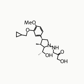 COc1ccc([C@H]2CN(NCC(=O)CO)C([C@@H](C)O)[C@H]2C)cc1OCC1CC1